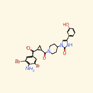 Nc1c(Br)cc(C(=O)C2CC2C(=O)N2CCC(n3cc(-c4cccc(O)c4)[nH]c3=O)CC2)cc1Br